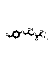 C=C(C)C(=O)OCC(O)COc1ccc(C=O)cc1